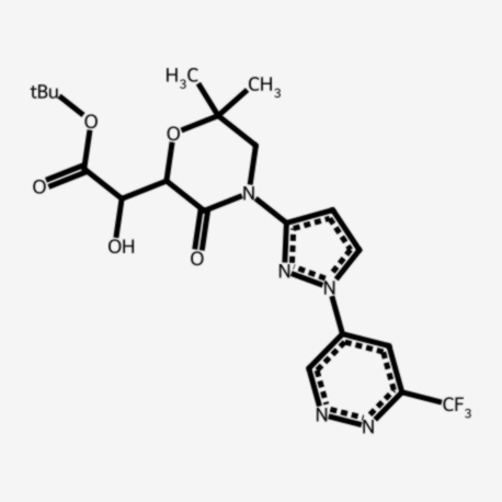 CC(C)(C)OC(=O)C(O)C1OC(C)(C)CN(c2ccn(-c3cnnc(C(F)(F)F)c3)n2)C1=O